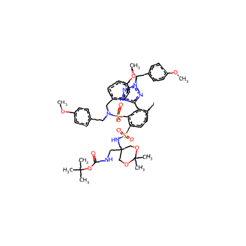 COc1ccc(CN(Cc2ccc(OC)cc2)S(=O)(=O)c2c(S(=O)(=O)NC3(CNC(=O)OC(C)(C)C)COC(C)(C)OC3)ccc(I)c2-c2nnn(Cc3ccc(OC)cc3)n2)cc1